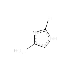 [CH2]Cc1nc(C(=O)O)c[nH]1